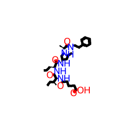 CCC[C@H](NC(=O)[C@@H](NC(=O)CCCC(=O)O)[C@@H](C)CC)C(=O)N[C@H]1CC(C)N([C@@H](C)C(=O)NCCc2ccccc2)C1